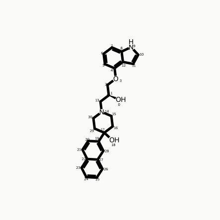 O[C@H](COc1cccc2[nH]ccc12)CN1CCC(O)(c2ccc3ccccc3c2)CC1